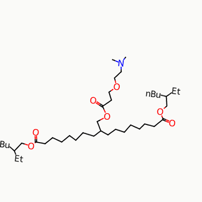 CCCCC(CC)COC(=O)CCCCCCCC(CCCCCCCC(=O)OCC(CC)CCCC)COC(=O)CCOCCN(C)C